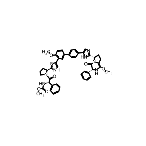 COC(=O)N[C@@H](C(=O)N1CCC[C@H]1c1nc(-c2cc(-c3ccc(-c4cnc([C@@H]5CCC6=C(OC)N[C@H](c7ccccc7)C(=O)N65)[nH]4)cc3)ccc2OC)c[nH]1)c1ccccc1